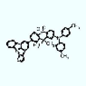 Cc1ccc(N(c2ccc(C)cc2)c2ccc3c(c2)C(C)(C)c2cc(-c4cc5c6ccccc6n6c7sccc7c(c4)c56)ccc2S3(=O)=O)cc1